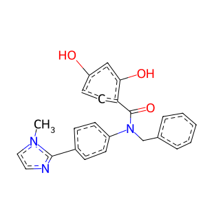 Cn1ccnc1-c1ccc(N(Cc2ccccc2)C(=O)c2ccc(O)cc2O)cc1